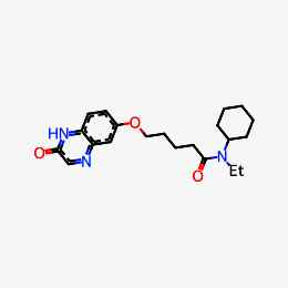 CCN(C(=O)CCCCOc1ccc2[nH]c(=O)cnc2c1)C1CCCCC1